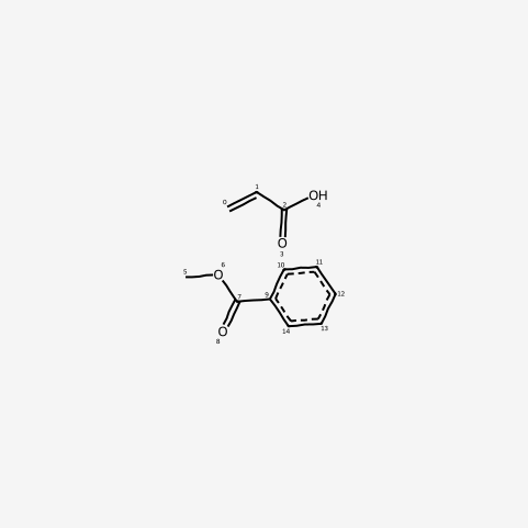 C=CC(=O)O.COC(=O)c1ccccc1